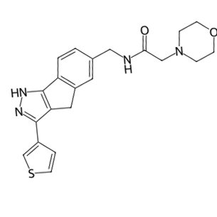 O=C(CN1CCOCC1)NCc1ccc2c(c1)Cc1c(-c3ccsc3)n[nH]c1-2